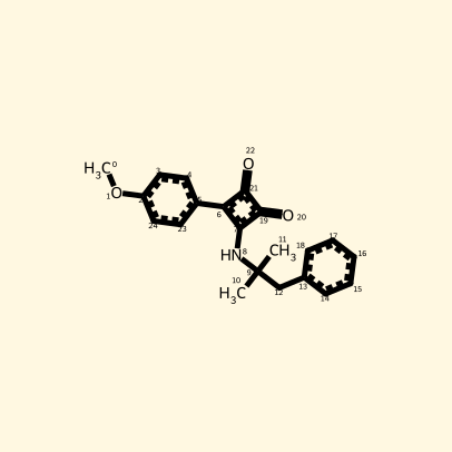 COc1ccc(-c2c(NC(C)(C)Cc3ccccc3)c(=O)c2=O)cc1